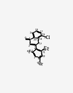 C=C1C=C(c2c(F)cc(Br)cc2CC)Cc2c(Cl)cccc21